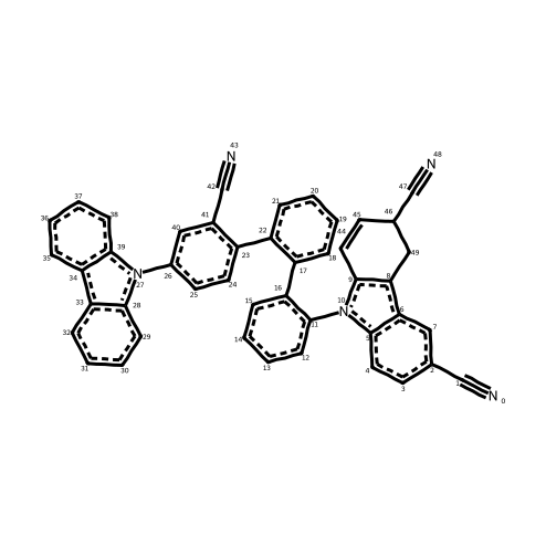 N#Cc1ccc2c(c1)c1c(n2-c2ccccc2-c2ccccc2-c2ccc(-n3c4ccccc4c4ccccc43)cc2C#N)C=CC(C#N)C1